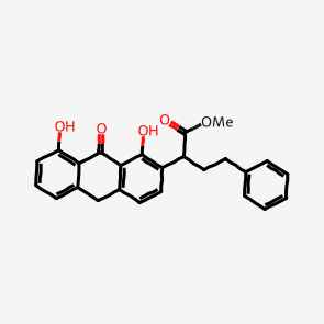 COC(=O)C(CCc1ccccc1)c1ccc2c(c1O)C(=O)c1c(O)cccc1C2